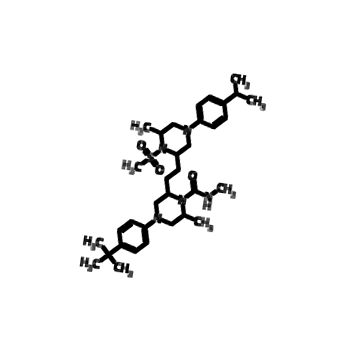 CNC(=O)N1C(C)CN(c2ccc(C(C)(C)C)cc2)CC1CCC1CN(c2ccc(C(C)C)cc2)CC(C)N1S(C)(=O)=O